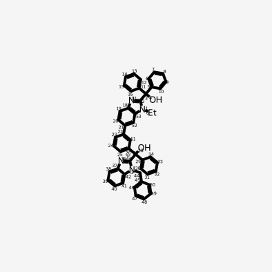 CCn1c(C(O)(c2ccccc2)c2ccccc2)nc2ccc(-c3cccc(C(O)(c4ccccc4)c4nc5ccccc5n4Cc4ccccc4)c3)cc21